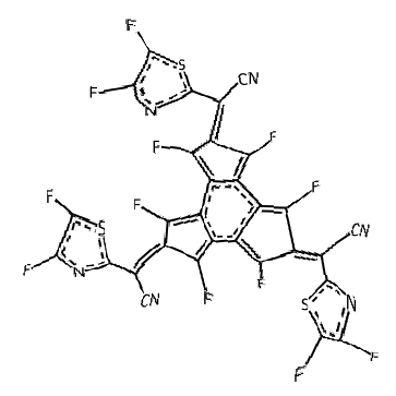 N#CC(=C1C(F)=c2c3c(c4c(c2=C1F)=C(F)C(=C(C#N)c1nc(F)c(F)s1)C=4F)=C(F)C(=C(C#N)c1nc(F)c(F)s1)C=3F)c1nc(F)c(F)s1